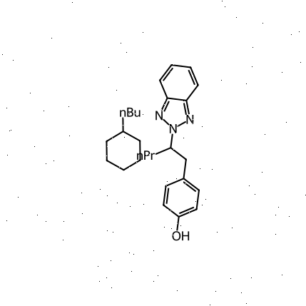 CCCC(Cc1ccc(O)cc1)n1nc2ccccc2n1.CCCCC1CCCCC1